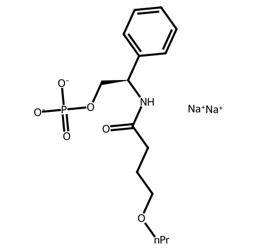 CCCOCCCC(=O)N[C@@H](COP(=O)([O-])[O-])c1ccccc1.[Na+].[Na+]